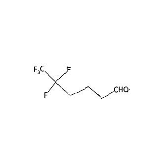 O=[C]CCCC(F)(F)C(F)(F)F